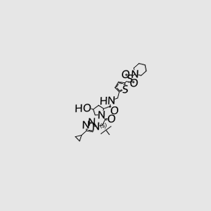 CC(C)(C)[C@@H](C(=O)N1CC(O)CC1C(=O)NCc1ccc(S(=O)(=O)N2CCCCC2)s1)n1cc(C2CC2)nn1